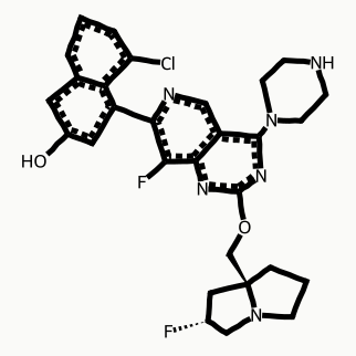 Oc1cc(-c2ncc3c(N4CCNCC4)nc(OC[C@@]45CCCN4C[C@H](F)C5)nc3c2F)c2c(Cl)cccc2c1